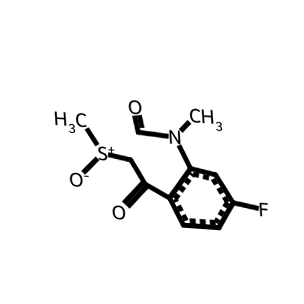 CN(C=O)c1cc(F)ccc1C(=O)C[S+](C)[O-]